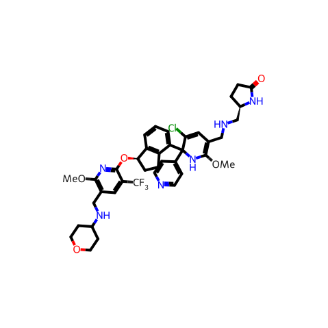 COC1=C(CNC[C@H]2CCC(=O)N2)C=C(Cl)C(c2ccncc2)(c2cccc3c2CC[C@H]3Oc2nc(OC)c(CNC3CCOCC3)cc2C(F)(F)F)N1